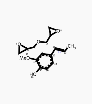 C(OCC1CO1)C1CO1.C/C=C/c1ccc(O)c(OC)c1